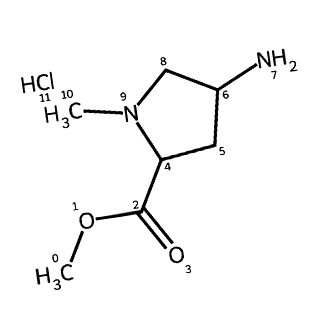 COC(=O)C1CC(N)CN1C.Cl